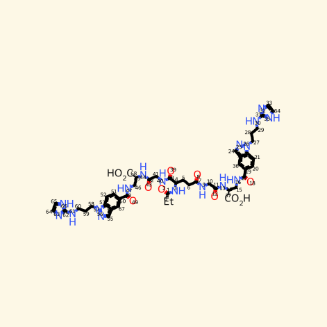 CCC(=O)NC(CCC(=O)NCC(=O)N[C@@H](CNC(=O)c1ccc2c(cnn2CCCNc2ncc[nH]2)c1)C(=O)O)C(=O)NCC(=O)N[C@@H](CNC(=O)c1ccc2c(cnn2CCCNc2ncc[nH]2)c1)C(=O)O